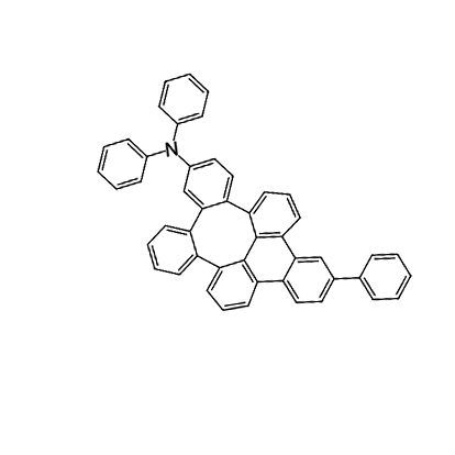 c1ccc(-c2ccc3c(c2)c2cccc4c5ccc(N(c6ccccc6)c6ccccc6)cc5c5ccccc5c5cccc3c5c42)cc1